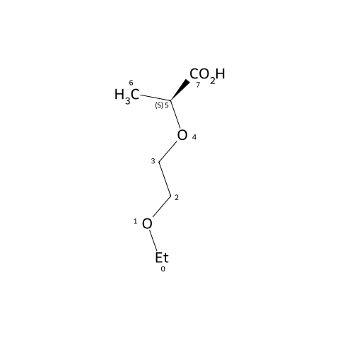 CCOCCO[C@@H](C)C(=O)O